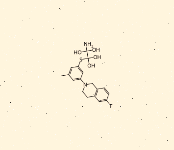 Cc1cc(SC(O)(O)C(N)(O)O)cc(N2CCc3cc(F)ccc3C2)c1